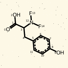 O=C(O)C(Cc1ccc(O)cc1)N(F)F